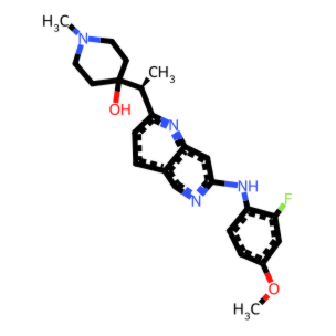 COc1ccc(Nc2cc3nc([C@H](C)C4(O)CCN(C)CC4)ccc3cn2)c(F)c1